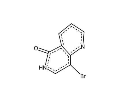 O=c1[nH]cc(Br)c2ncccc12